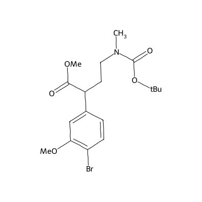 COC(=O)C(CCN(C)C(=O)OC(C)(C)C)c1ccc(Br)c(OC)c1